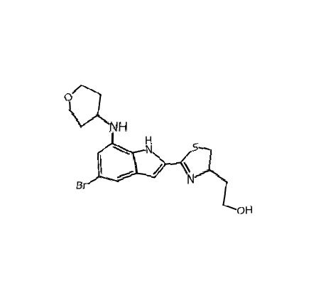 OCCC1CSC(c2cc3cc(Br)cc(NC4CCOCC4)c3[nH]2)=N1